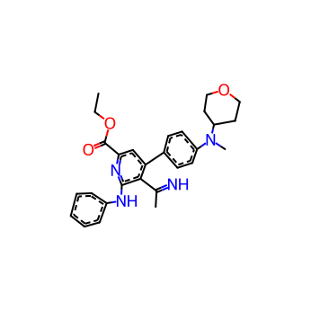 CCOC(=O)c1cc(-c2ccc(N(C)C3CCOCC3)cc2)c(C(C)=N)c(Nc2ccccc2)n1